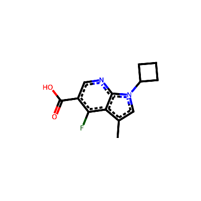 Cc1cn(C2CCC2)c2ncc(C(=O)O)c(F)c12